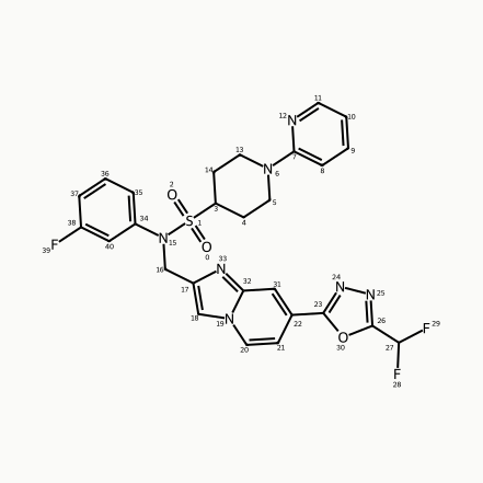 O=S(=O)(C1CCN(c2ccccn2)CC1)N(Cc1cn2ccc(-c3nnc(C(F)F)o3)cc2n1)c1cccc(F)c1